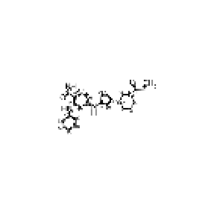 C=CC(=O)N1CCC[C@H](n2cc(Nc3ncc(C(N)=O)c(Nc4ccccc4)n3)cn2)C1